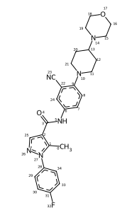 Cc1c(C(=O)Nc2ccc(N3CCC(N4CCOCC4)CC3)c(C#N)c2)cnn1-c1ccc(F)cc1